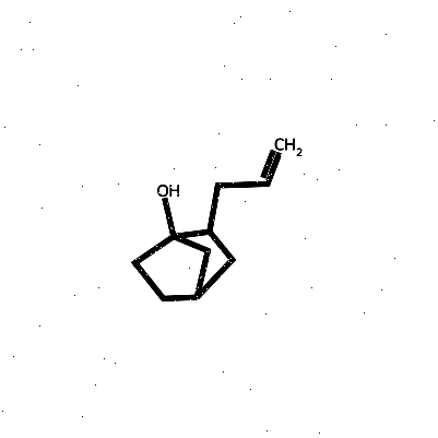 C=CCC1CC2CCC1(O)C2